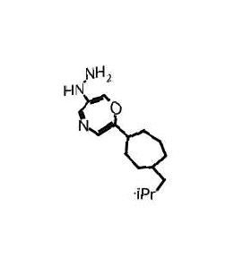 C[C](C)CC1CCCC(C2=CN=CC(NN)=CO2)CC1